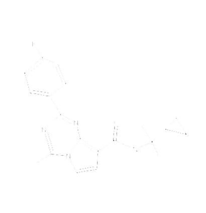 Cc1nc(-c2ccc(F)cc2)nc2c(C(=O)NC(C)(C)C3CC3)ccn12